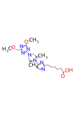 COCc1nc(OC)nc(N2C[C@@H](C)N(c3ccnc(CCCCCC(=O)O)n3)[C@@H](C)C2)n1